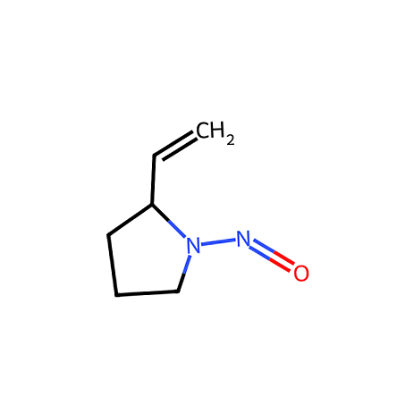 C=CC1CCCN1N=O